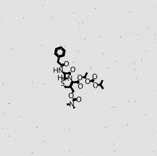 CC(C)OC(=O)OC(C)OC(=O)C1=C(COC(=O)N(C)C)CS[C@H]2C(NC(=O)Cc3ccccc3)C(=O)N12